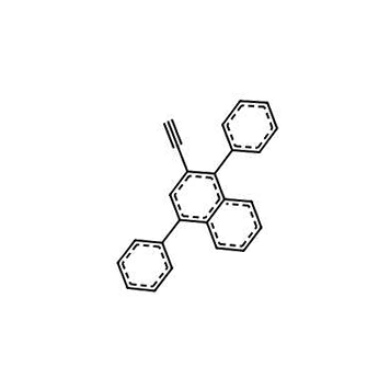 C#Cc1cc(-c2ccccc2)c2ccccc2c1-c1ccccc1